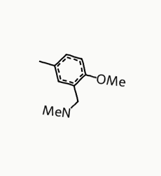 CNCc1cc(C)ccc1OC